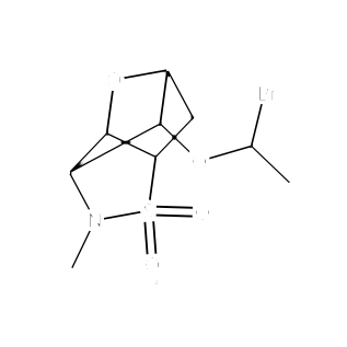 CC(Br)OC1C2CC3C(O2)C1N(C)S3(=O)=O